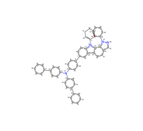 C1=CC(n2c3ccc(-c4ccc(N(c5ccc(-c6ccccc6)cc5)c5ccc(-c6ccccc6)cc5)cc4)cc3c3ccc4cnn(-c5ccccc5)c4c32)=CCC1